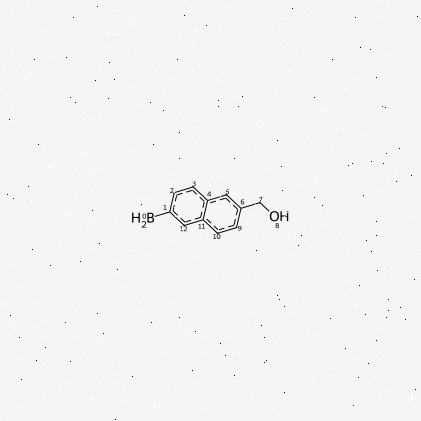 Bc1ccc2cc(CO)ccc2c1